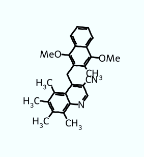 COc1c(C)c(Cc2c(C#N)cnc3c(C)c(C)c(C)c(C)c23)c(OC)c2ccccc12